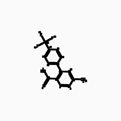 Cc1ncc(C(=O)O)c(-c2ccc(C(F)(F)F)cc2)n1